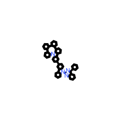 c1ccc(-c2nc(-n3c4ccccc4c4cc(-c5ccc6c(c5)c5cccc7c8ccccc8c8ccccc8c8ccccc8n6c75)ccc43)nc3ccccc23)cc1